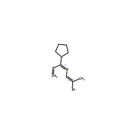 C=N/C(=N\C=C(/C)C(C)C)N1CCCC1